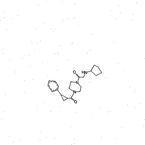 O=C(CNC1CCCC1)N1CCN(C(=O)C2CC2c2ccccc2)CC1